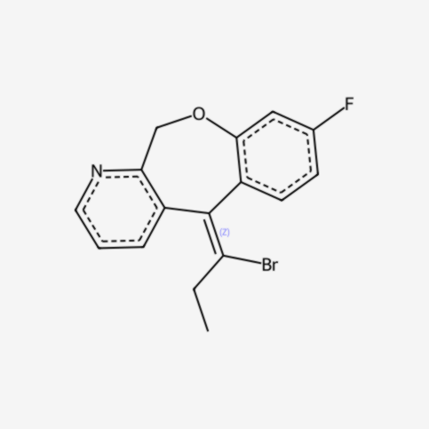 CC/C(Br)=C1/c2ccc(F)cc2OCc2ncccc21